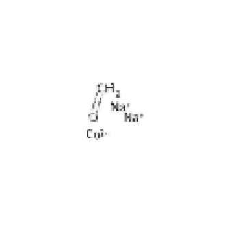 C=O.[Co-2].[Na+].[Na+]